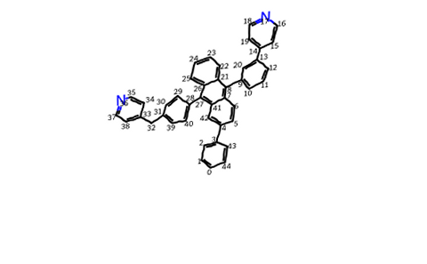 c1ccc(-c2ccc3c(-c4cccc(-c5ccncc5)c4)c4ccccc4c(-c4ccc(Cc5ccncc5)cc4)c3c2)cc1